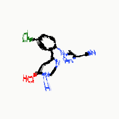 N#Cc1cn(-c2ccc(Cl)cc2C2=CC(O)NC=N2)nn1